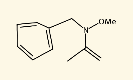 C=C(C)N(Cc1ccccc1)OC